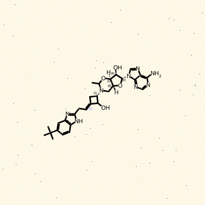 CC1O[C@H]2[C@@H](O)[C@H](n3cnc4c(N)ncnc43)O[C@@H]2CN1[C@H]1C/C(=C\Cc2nc3cc(C(C)(C)C)ccc3[nH]2)C1O